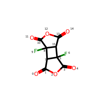 O=C1OC(=O)C2(F)C1C1(F)C(=O)OC(=O)C21